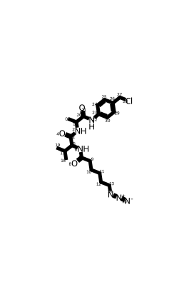 CC(NC(=O)C(NC(=O)CCCCCN=[N+]=[N-])C(C)C)C(=O)Nc1ccc(CCl)cc1